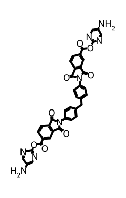 Nc1cnc(OC(=O)c2ccc3c(c2)C(=O)N(c2ccc(Cc4ccc(N5C(=O)c6ccc(C(=O)Oc7ncc(N)cn7)cc6C5=O)cc4)cc2)C3=O)nc1